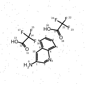 Nc1cnc2ccccc2c1.O=C(O)C(F)(F)F.O=C(O)C(F)(F)F